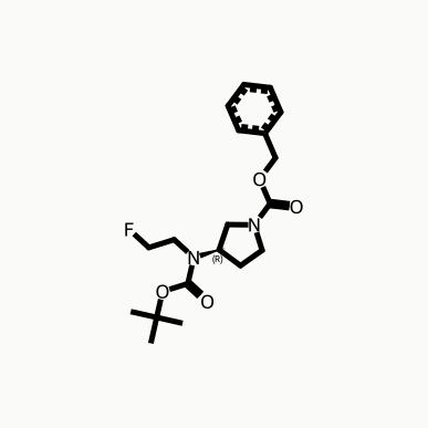 CC(C)(C)OC(=O)N(CCF)[C@@H]1CCN(C(=O)OCc2ccccc2)C1